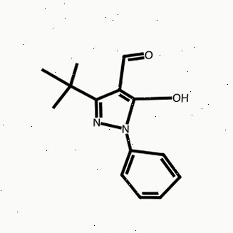 CC(C)(C)c1nn(-c2ccccc2)c(O)c1C=O